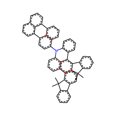 CC1(C)c2ccccc2-c2c(-c3ccccc3N(c3ccc(-c4cccc5cccc(-c6ccccc6)c45)cc3)c3cccc(-c4cccc5c4C(C)(C)c4ccccc4-5)c3)cccc21